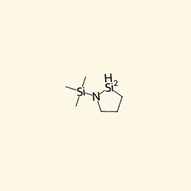 C[Si](C)(C)N1CCC[SiH2]1